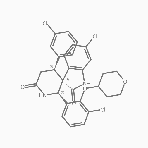 O=C1C[C@@H](c2cccc(Cl)c2)[C@]2(C(=O)Nc3cc(Cl)ccc32)[C@@H](c2cccc(Cl)c2OC2CCOCC2)N1